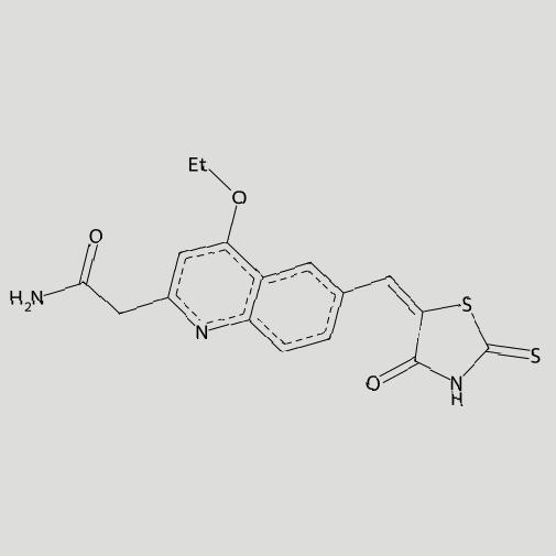 CCOc1cc(CC(N)=O)nc2ccc(C=C3SC(=S)NC3=O)cc12